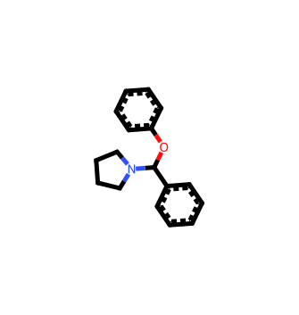 c1ccc(OC(c2ccccc2)N2CCCC2)cc1